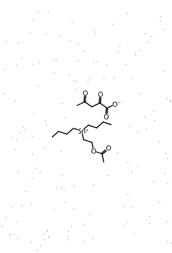 CC(=O)CC(=O)C(=O)[O-].CCC[CH2][Sn+]([CH2]CCC)[CH2]COC(C)=O